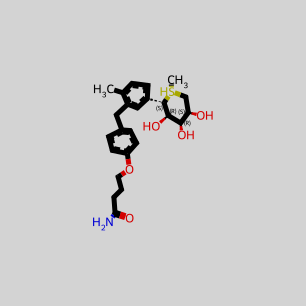 Cc1ccc([C@H]2[C@H](O)[C@H](O)[C@H](O)C[SH]2C)cc1Cc1ccc(OCCCC(N)=O)cc1